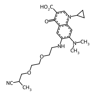 CC(C#N)COCCOCCNc1cc2c(=O)c(C(=O)O)cn(C3CC3)c2cc1N(C)C